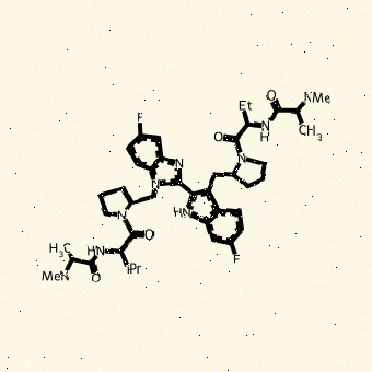 CCC(NC(=O)C(C)NC)C(=O)N1CCCC1Cc1c(-c2nc3cc(F)ccc3n2CC2CCCN2C(=O)C(NC(=O)C(C)NC)C(C)C)[nH]c2cc(F)ccc12